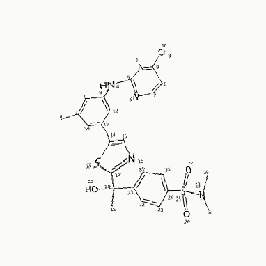 Cc1cc(Nc2nccc(C(F)(F)F)n2)cc(-c2cnc(C(C)(O)c3ccc(S(=O)(=O)N(C)C)cc3)s2)c1